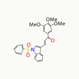 COc1cc(C(=O)C=Cc2cn(S(=O)(=O)c3ccccc3)c3ccccc23)cc(OC)c1OC